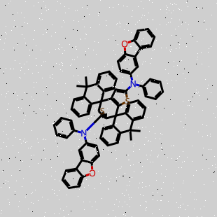 CC1(C)c2ccccc2C2(c3ccccc31)c1cc(N(c3ccccc3)c3ccc4oc5ccccc5c4c3)sc1C1(c3ccccc3C(C)(C)c3ccccc31)c1cc(N(c3ccccc3)c3ccc4oc5ccccc5c4c3)sc12